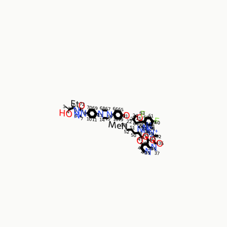 CC[C@@H]([C@H](C)O)n1ncn(-c2ccc(N3CCN(c4ccc(OC[C@@H]5CO[C@@](Cn6c[n+](C(C)OC(=O)N(C)c7ncccc7COC(=O)[C@@H](N)CCCNC)cn6)(c6ccc(F)cc6F)C5)cc4)CC3)cc2)c1=O